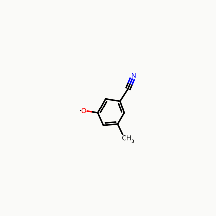 Cc1cc([O])cc(C#N)c1